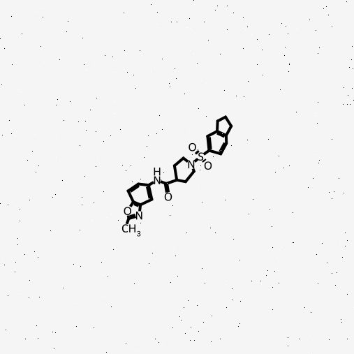 Cc1nc2cc(NC(=O)C3CCN(S(=O)(=O)c4ccc5c(c4)CCC5)CC3)ccc2o1